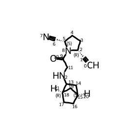 C#C[C@H]1CC[C@@H](C#N)N1C(=O)CNC1C[C@H]2CC[C@@H]1C2